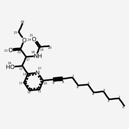 CCCCCCCCC#Cc1cccc(C(O)C(NC(C)=O)C(=O)OCC)n1